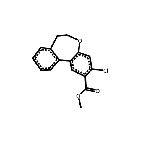 COC(=O)c1cc2c(cc1Cl)OCCc1ccccc1-2